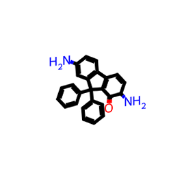 Nc1ccc2c(c1)C(c1ccccc1)(c1ccccc1)C1=C2C=CC(N)C1=O